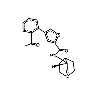 CC(=O)c1ccccc1-c1csc(C(=O)N[C@H]2CN3CCC2CC3)c1